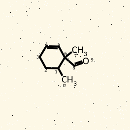 CC1CCC=CC1(C)C=O